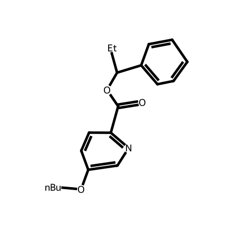 CCCCOc1ccc(C(=O)OC(CC)c2ccccc2)nc1